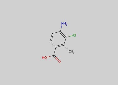 Cc1c(C(=O)O)ccc(N)c1Cl